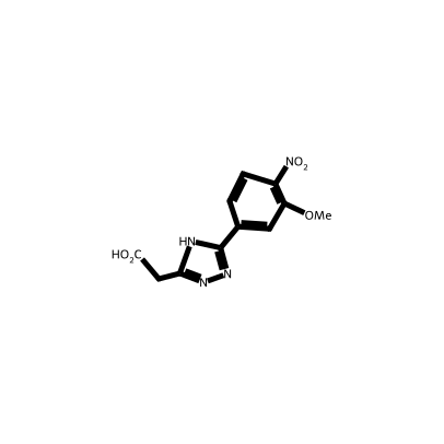 COc1cc(-c2nnc(CC(=O)O)[nH]2)ccc1[N+](=O)[O-]